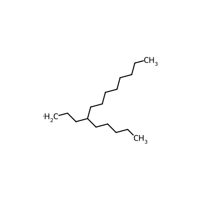 [CH2]CCC(CCCCC)CCCCCCCC